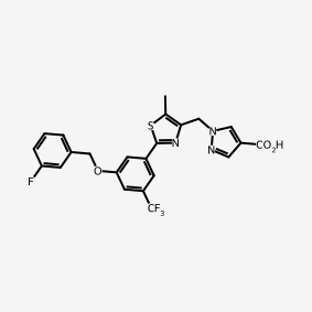 Cc1sc(-c2cc(OCc3cccc(F)c3)cc(C(F)(F)F)c2)nc1Cn1cc(C(=O)O)cn1